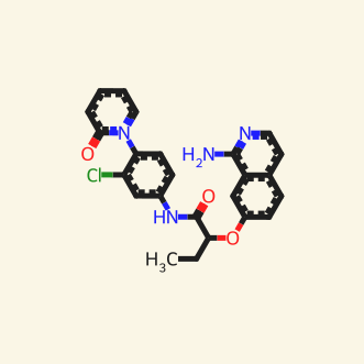 CCC(Oc1ccc2ccnc(N)c2c1)C(=O)Nc1ccc(-n2ccccc2=O)c(Cl)c1